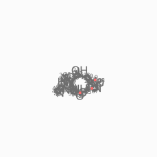 CCn1c(-c2cccnc2[C@H](C)OC)c2c3cc(ccc31)-c1cc(O)cc(c1)C[C@H](NC(=O)C(C(C)C)N(C)C(=O)[C@H]1Cc3cccnc3[C@H]1N)C(=O)N1CCC[C@H](N1)C(=O)OCC(C)(C)C2